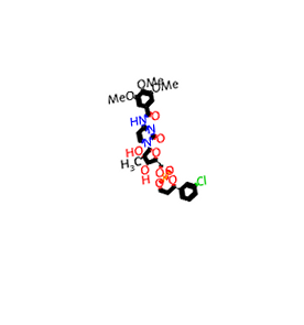 COc1cc(C(=O)Nc2ccn([C@@H]3O[C@H](COP4(=O)OCC[C@@H](c5cccc(Cl)c5)O4)[C@@H](O)[C@@]3(C)O)c(=O)n2)cc(OC)c1OC